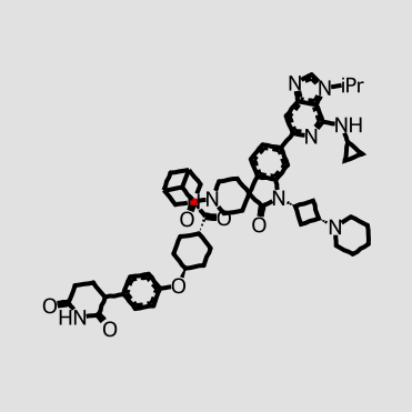 CC(C)n1cnc2cc(-c3ccc4c(c3)N([C@H]3C[C@@H](N5CCCCC5)C3)C(=O)C43CCN(C(=O)C4C5CC4CN(C(=O)[C@H]4CC[C@H](Oc6ccc(C7CCC(=O)NC7=O)cc6)CC4)C5)CC3)nc(NC3CC3)c21